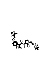 Cc1ncsc1COc1ccc2oc(C)c(C(=O)NC3CCN(CCO[Si](C)(C)C(C)(C)C)C3=O)c2c1